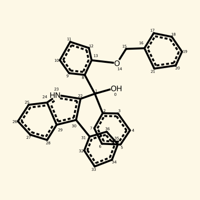 OC(c1ccccc1)(c1ccccc1OCc1ccccc1)c1[nH]c2ccccc2c1-c1ccccc1